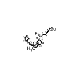 CCN(CC=CC#CC(C)(C)C)Cc1cccc(OC(C)(C)COCc2ccsc2)c1